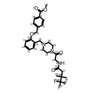 COC(=O)c1ccc(COc2ccccc2CN2CCN(C(=O)CNC(=O)CC(C)(C)C(F)(F)F)CC2)cc1